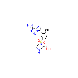 Cc1ccc(S(=O)(=O)N2CCNC[C@@H]2CO)cc1-c1cnc2c(N)ncnn12